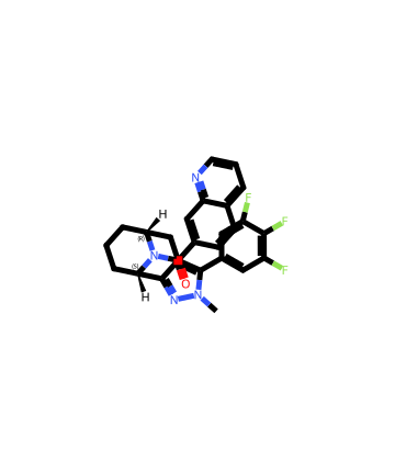 Cn1nc2c(c1-c1cc(F)c(F)c(F)c1)C[C@H]1CCC[C@@H]2N1C(=O)c1ccc2cccnc2c1